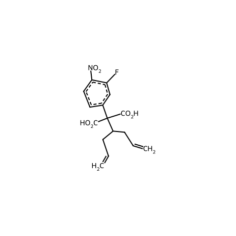 C=CCC(CC=C)C(C(=O)O)(C(=O)O)c1ccc([N+](=O)[O-])c(F)c1